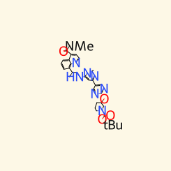 CNC(=O)c1ccnc2c([C@H](C)CNc3cc(-c4cnc(OC5CCCN(C(=O)OC(C)(C)C)C5)nc4)ncn3)cccc12